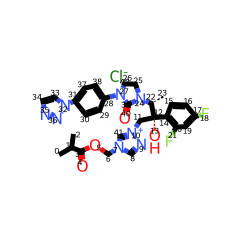 CC(C)C(=O)OCn1cn[n+](C[C@](O)(c2ccc(F)cc2F)[C@@H](C)N2CCN(c3ccc(-n4ccnn4)cc3)C2=O)c1.[Cl-]